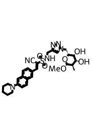 CO[C@H]1O[C@H](Cn2cc(CNS(=O)(=O)/C(C#N)=C/c3ccc4cc(N5CCCCC5)ccc4c3)nn2)[C@@H](O)[C@H](O)[C@H]1C